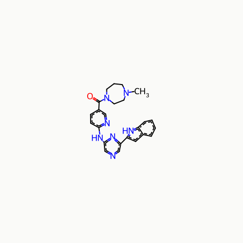 CN1CCCN(C(=O)c2ccc(Nc3cncc(-c4cc5ccccc5[nH]4)n3)nc2)CC1